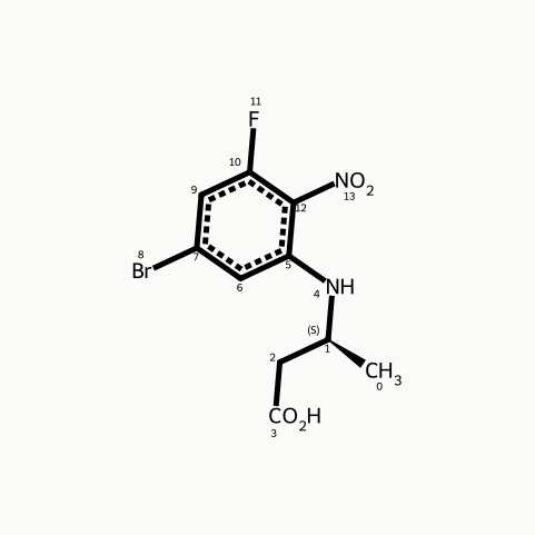 C[C@@H](CC(=O)O)Nc1cc(Br)cc(F)c1[N+](=O)[O-]